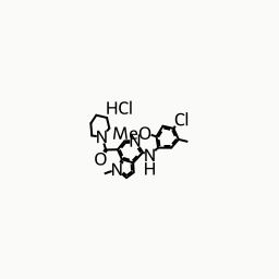 COc1cc(Cl)c(C)cc1Nc1ncc(C(=O)N2CCCCC2)c2c1ccn2C.Cl